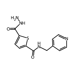 NNC(=O)c1ccc(C(=O)NCc2ccncc2)s1